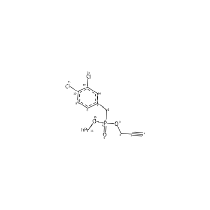 C#CCOP(=O)(Cc1ccc(Cl)c(Cl)c1)OCCC